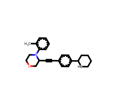 Cc1ccccc1N1CCOCC1C#Cc1ccc(C2BCCCC2)cc1